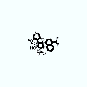 COc1cncc2c1[C@]1(O)[C@H](O)[C@H](C(=O)O)[C@@H](c3ccccc3)[C@]1(c1ccc(C(F)F)cc1)O2